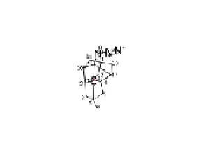 CC12CC3C4CC5(C)CC3C(C1)C(N=[N+]=[N-])(C5)C4C2